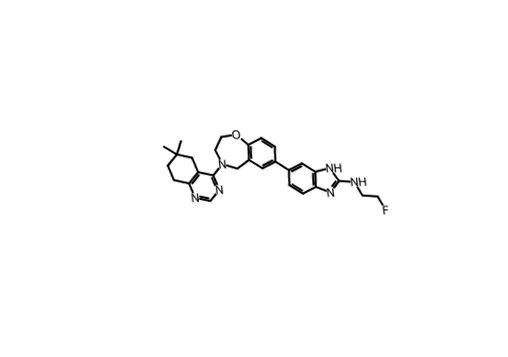 CC1(C)CCc2ncnc(N3CCOc4ccc(-c5ccc6nc(NCCF)[nH]c6c5)cc4C3)c2C1